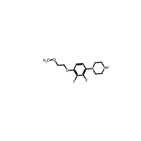 COCCOc1ccc(N2CCNCC2)c(F)c1F